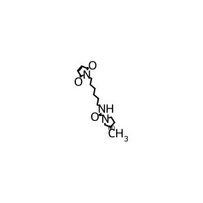 C[C@@H]1CCN(C(=O)NCCCCCCN2C(=O)C=CC2=O)C1